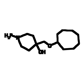 OC1(COC2CCCCCCC2)CCN(P)CC1